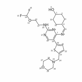 OC1CCC(/C=N\c2nc(NCCOC(F)F)ncc2-c2ccc(CN3CCOCC3)s2)CC1